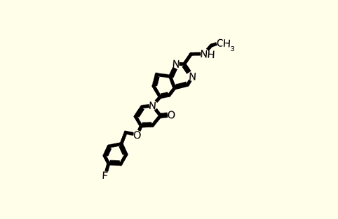 CCNCc1ncc2cc(-n3ccc(OCc4ccc(F)cc4)cc3=O)ccc2n1